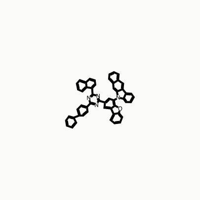 c1ccc(-c2ccc(-c3nc(-c4cc(-n5c6ccccc6c6cc7ccccc7cc65)c5oc6ccccc6c5c4)nc(-c4cccc5ccccc45)n3)cc2)cc1